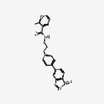 Cc1ncccc1C(=O)NCCCc1ccc(-c2ccc3[nH]ncc3c2)cc1